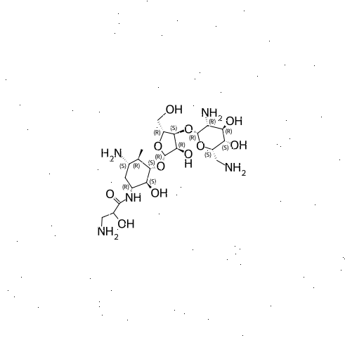 C[C@H]1[C@H](O[C@@H]2O[C@H](CO)[C@@H](O[C@H]3O[C@@H](CN)[C@@H](O)[C@H](O)[C@H]3N)[C@H]2O)[C@@H](O)[C@H](NC(=O)C(O)CN)C[C@@H]1N